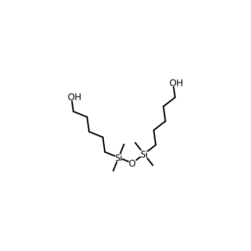 C[Si](C)(CCCCCO)O[Si](C)(C)CCCCCO